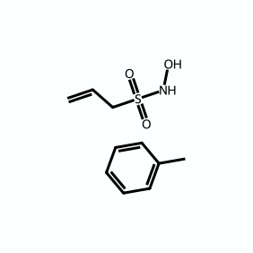 C=CCS(=O)(=O)NO.Cc1ccccc1